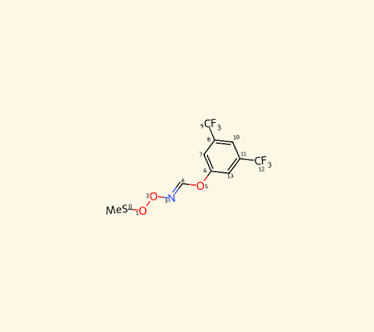 CSOO/N=C/Oc1cc(C(F)(F)F)cc(C(F)(F)F)c1